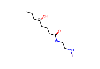 CCC[C@@H](O)CCCC(=O)NCCNI